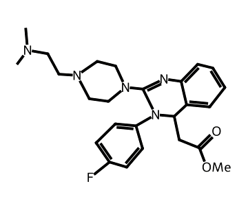 COC(=O)CC1c2ccccc2N=C(N2CCN(CCN(C)C)CC2)N1c1ccc(F)cc1